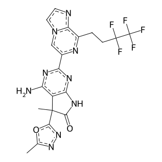 Cc1nnc(C2(C)C(=O)Nc3nc(-c4cn5ccnc5c(CCC(F)(F)C(F)(F)F)n4)nc(N)c32)o1